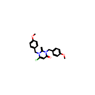 C=C1N(Cc2ccc(OC)cc2)C(=O)C=C(Cl)N1Cc1ccc(OC)cc1